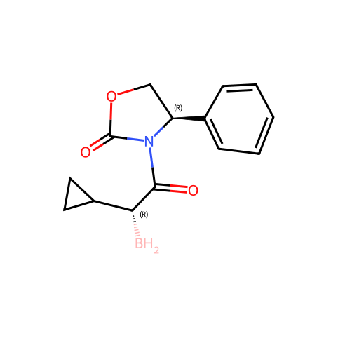 B[C@@H](C(=O)N1C(=O)OC[C@H]1c1ccccc1)C1CC1